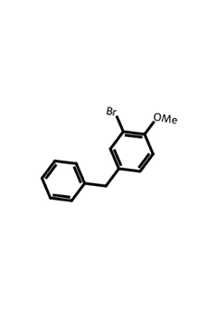 COc1ccc(Cc2ccccc2)cc1Br